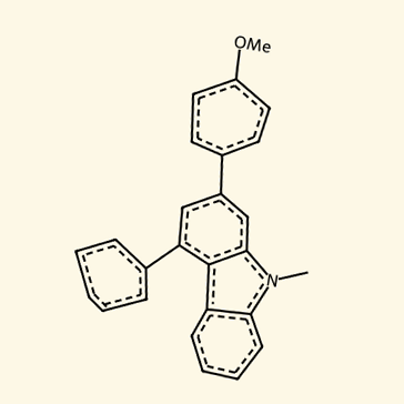 COc1ccc(-c2cc(-c3ccccc3)c3c4ccccc4n(C)c3c2)cc1